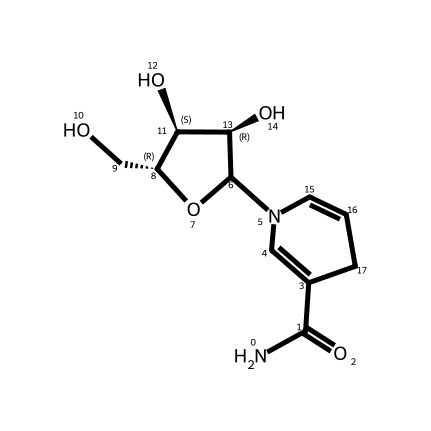 NC(=O)C1=CN(C2O[C@H](CO)[C@@H](O)[C@H]2O)C=CC1